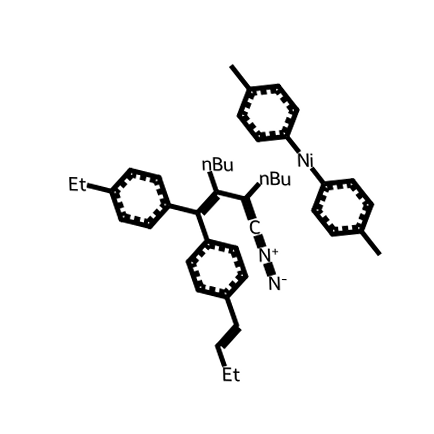 CCC=Cc1ccc(C(=C(CCCC)C(=C=[N+]=[N-])CCCC)c2ccc(CC)cc2)cc1.Cc1cc[c]([Ni][c]2ccc(C)cc2)cc1